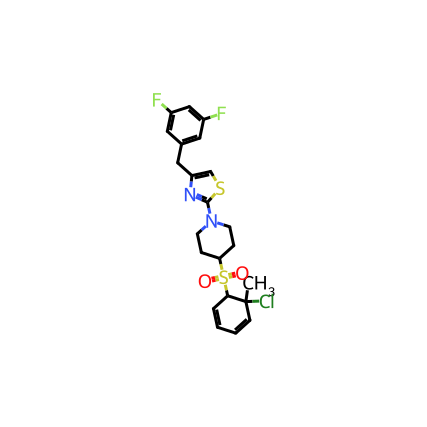 CC1(Cl)C=CC=CC1S(=O)(=O)C1CCN(c2nc(Cc3cc(F)cc(F)c3)cs2)CC1